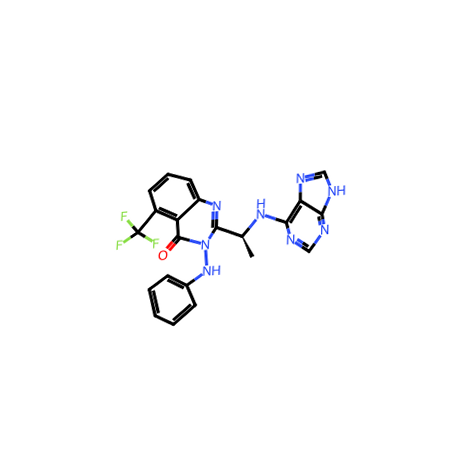 C[C@H](Nc1ncnc2[nH]cnc12)c1nc2cccc(C(F)(F)F)c2c(=O)n1Nc1ccccc1